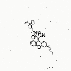 C=C(C)C(=O)OCCNC(=O)C(C#N)=C1c2ccccc2Oc2cc(SCCC)ccc21